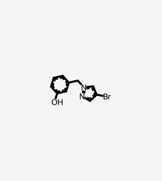 Oc1cccc(Cn2cc(Br)cn2)c1